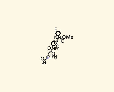 COC(=O)n1c(Cn2cccc(NC(=O)[C@H](CC/C=C/C(=O)N(C)C)OC(=O)N(C)C)c2=O)nc2cc(F)ccc21